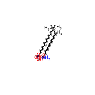 CC(C)CCCCCCCCCCCCCOP(=O)(O)O.CCCCCCCCCCCCON